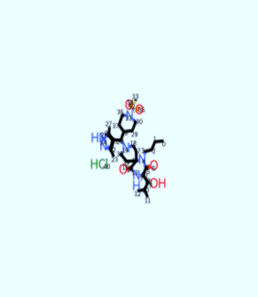 CCCCN1C(=O)[C@@H]([C@H](O)C(C)C)NC(=O)C12CCN(C(c1c(C)n[nH]c1C)C1CCN(S(C)(=O)=O)CC1)CC2.Cl